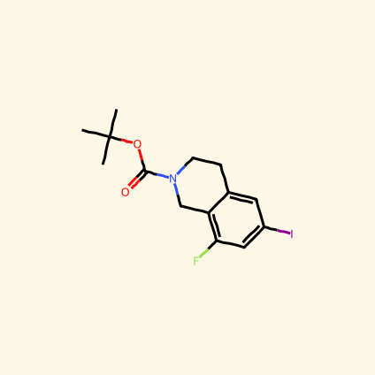 CC(C)(C)OC(=O)N1CCc2cc(I)cc(F)c2C1